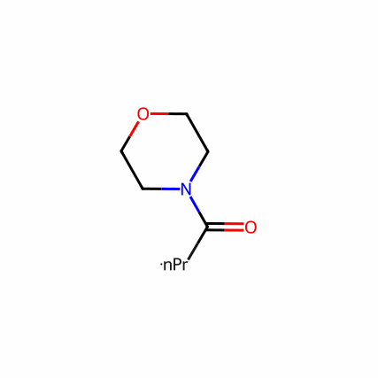 CC[CH]C(=O)N1CCOCC1